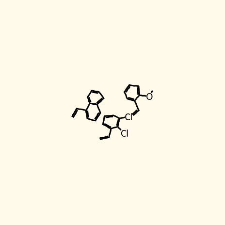 C=Cc1cccc(Cl)c1Cl.C=Cc1cccc2ccccc12.C=Cc1ccccc1OC